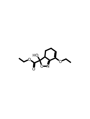 CCOC(=O)C1(O)ON=C2C(OCC)=CCCC21